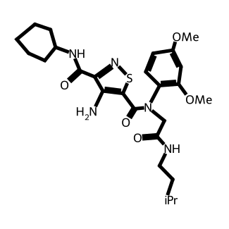 COc1ccc(N(CC(=O)NCCC(C)C)C(=O)c2snc(C(=O)NC3CCCCC3)c2N)c(OC)c1